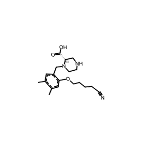 Cc1cc(CN2CCNC[C@H]2C(=O)O)c(OCCCCC#N)cc1C